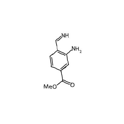 COC(=O)c1ccc(C=N)c(N)c1